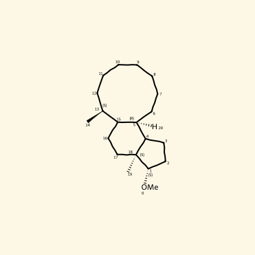 CO[C@H]1CCC2[C@@H]3CCCCCCC[C@H](C)C3CC[C@@]21C